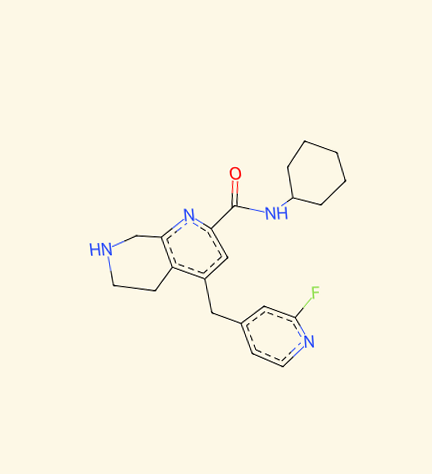 O=C(NC1CCCCC1)c1cc(Cc2ccnc(F)c2)c2c(n1)CNCC2